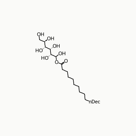 CCCCCCCCCCCCCCCCCCCC(=O)OC(O)[C@H](O)[C@@H](O)[C@H](O)[C@H](O)CO